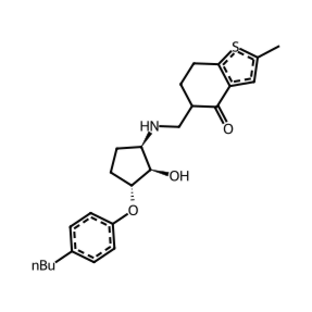 CCCCc1ccc(O[C@@H]2CC[C@@H](NCC3CCc4sc(C)cc4C3=O)[C@H]2O)cc1